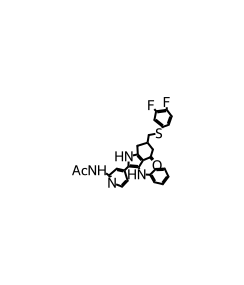 CC(=O)Nc1cc(-c2[nH]c3c(c2Nc2ccccc2)C(=O)CC(CSc2ccc(F)c(F)c2)C3)ccn1